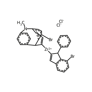 CN1c2ccc(cc2)C2[C]([Zr+2][C]3=Cc4cccc(Br)c4C3c3ccccc3)=Cc3c1ccc(Br)c32.[Cl-].[Cl-]